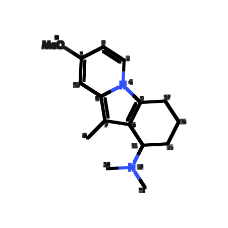 COc1ccn2c3c(c(C)c2c1)C(N(C)C)CCC3